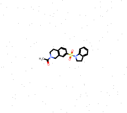 CC(=O)N1CCc2ccc(S(=O)(=O)N3CCc4ccccc43)cc2C1